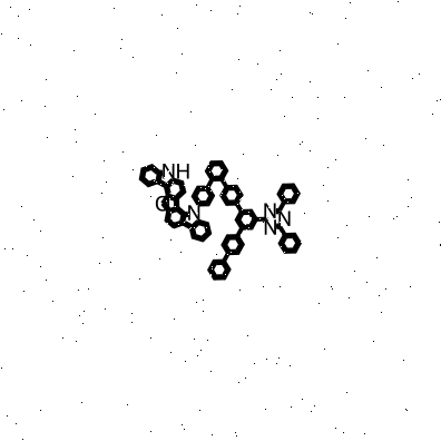 c1ccc(-c2ccc(-c3cc(-c4ccc(-c5ccccc5-c5ccc(-n6c7ccccc7c7ccc8oc9c(ccc%10[nH]c%11ccccc%11c%109)c8c76)cc5)cc4)cc(-c4nc(-c5ccccc5)nc(-c5ccccc5)n4)c3)cc2)cc1